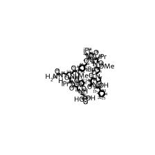 CC[C@H](C)[C@H]([C@@H](CC(=O)N1CCC[C@H]1[C@@H](OC)[C@@H](C)C(=O)N[C@@H](C)[C@H](O)c1ccccc1)OC)N(C)C(=O)[C@@H](NC(=O)[C@@H](C(C)C)N(C)C(=O)OCc1ccc(NC(=O)[C@H](CCCNC(N)=O)NC(=O)[C@@H](NC(=O)C(CNCCP(=O)(O)O)N2C(=O)C=CC2=O)C(C)C)cc1)C(C)C